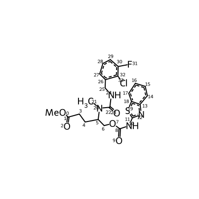 COC(=O)CCC(COC(=O)Nc1nc2ccccc2s1)N(C)C(=O)NCc1cccc(F)c1Cl